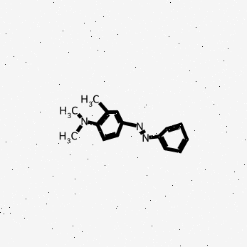 Cc1cc(/N=N/c2ccccc2)ccc1N(C)C